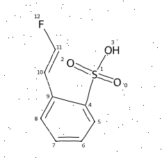 O=S(=O)(O)c1ccccc1C=CF